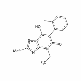 CSc1nc2c(s1)c(O)c(-c1ccccc1C)c(=O)n2CC(F)(F)F